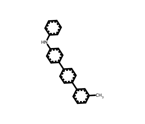 Cc1cccc(-c2ccc(-c3ccc(Nc4ccccc4)cc3)cc2)c1